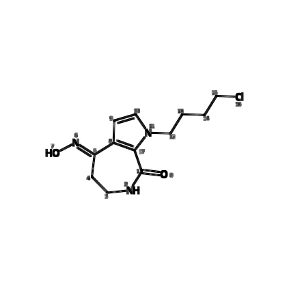 O=C1NCCC(=NO)c2ccn(CCCCCl)c21